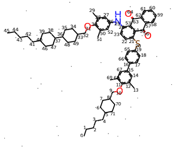 CCCCCC1CCC(COc2c(C)cc(-c3ccc(Sc4ccc(Nc5cc(C)c(OCC6CCC(C7CCC(CCCCC)CC7)CC6)c(C)c5)c5c4C(=O)c4ccccc4C5=O)cc3)cc2C)CC1